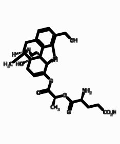 C[C@H](OC(=O)[C@@H](N)CCC(=O)O)C(=O)OC1=CC[C@@]2(O)[C@H]3Cc4ccc(CO)c5c4[C@@]2(CCN3C)[C@H]1O5